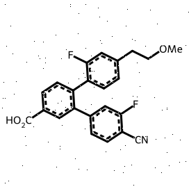 COCCc1ccc(-c2ccc(C(=O)O)cc2-c2ccc(C#N)c(F)c2)c(F)c1